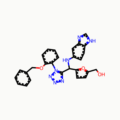 OCc1ccc(C(Nc2ccc3[nH]cnc3c2)c2nnnn2-c2ccccc2OCc2ccccc2)o1